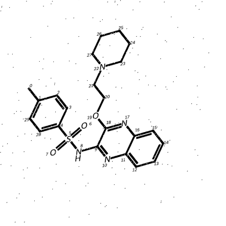 Cc1ccc(S(=O)(=O)Nc2nc3ccccc3nc2OCCN2CCCCC2)cc1